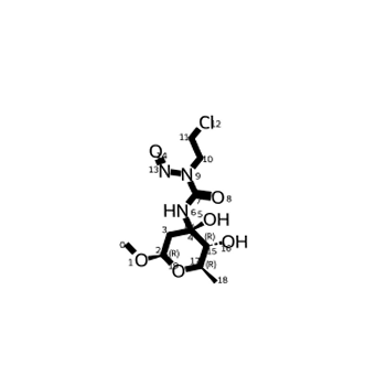 CO[C@H]1C[C@](O)(NC(=O)N(CCCl)N=O)[C@H](O)[C@@H](C)O1